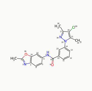 Cc1nc2ccc(NC(=O)c3cccc(-n4nc(C)c(Cl)c4C)c3)cc2o1